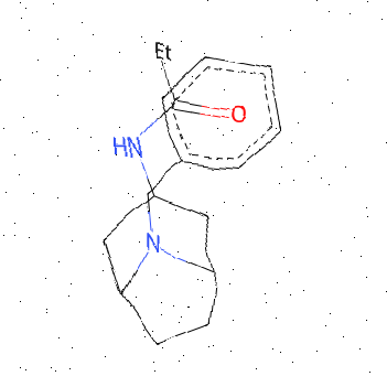 CCC(=O)NC1CC2CCC(C1)N2Cc1ccccc1